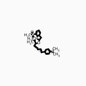 CN(C)c1ccc(/C=C/C=C=CC2OC3Cc4cccc(S(C)(=O)=O)c4N3C2(C)C)cc1